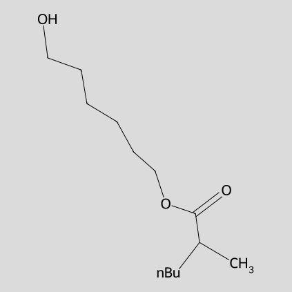 CCCCC(C)C(=O)OCCCCCCO